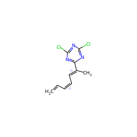 C=C/C=C\C=C(/C)c1nc(Cl)nc(Cl)n1